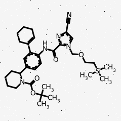 CC(C)(C)OC(=O)N1CCCCC1c1ccc(NC(=O)c2nc(C#N)cn2COCC[Si](C)(C)C)c(C2=CCCCC2)c1